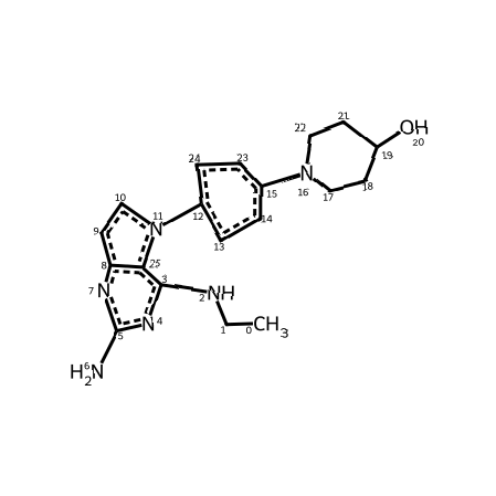 CCNc1nc(N)nc2ccn(-c3ccc(N4CCC(O)CC4)cc3)c12